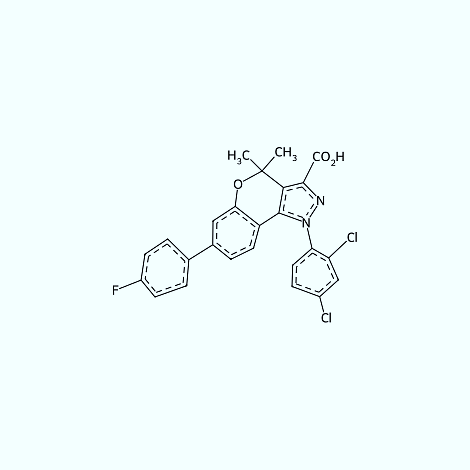 CC1(C)Oc2cc(-c3ccc(F)cc3)ccc2-c2c1c(C(=O)O)nn2-c1ccc(Cl)cc1Cl